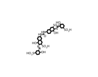 O=C(Nc1ccc2c(O)c(N=Nc3cc(S(=O)(=O)O)ccc3O)c(S(=O)(=O)O)cc2c1)Nc1ccc2c(O)c(N=Nc3cc(S(=O)(=O)O)ccc3O)c(S(=O)(=O)O)cc2c1